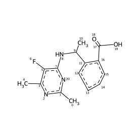 Cc1nc(C)c(F)c(NC(C)c2ccccc2C(=O)O)n1